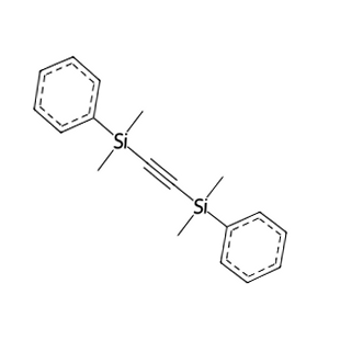 C[Si](C)(C#C[Si](C)(C)c1ccccc1)c1ccccc1